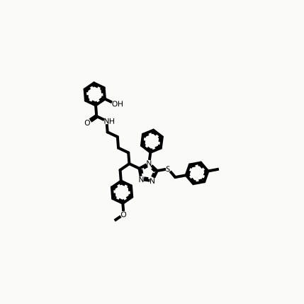 COc1ccc(CC(CCCCNC(=O)c2ccccc2O)c2nnc(SCc3ccc(C)cc3)n2-c2ccccc2)cc1